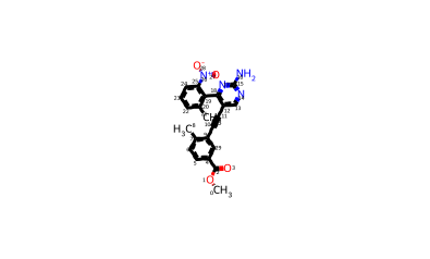 COC(=O)c1ccc(C)c(C#Cc2cnc(N)nc2-c2c(C)cccc2[N+](=O)[O-])c1